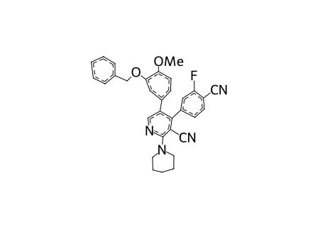 COc1ccc(-c2cnc(N3CCCCC3)c(C#N)c2-c2ccc(C#N)c(F)c2)cc1OCc1ccccc1